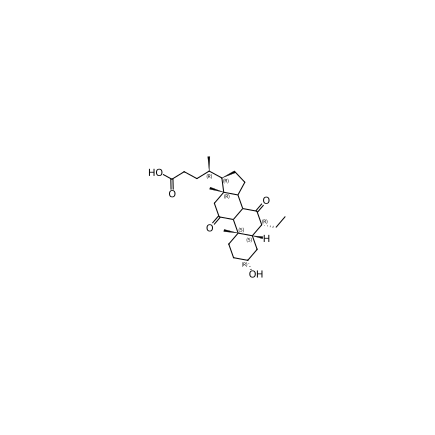 CC[C@H]1C(=O)C2C3CC[C@H]([C@H](C)CCC(=O)O)[C@@]3(C)CC(=O)C2[C@@]2(C)CC[C@@H](O)C[C@@H]12